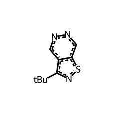 CC(C)(C)c1nsc2cnncc12